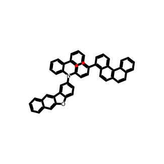 c1ccc(-c2ccccc2N(c2ccc(-c3cccc4c3ccc3ccc5ccccc5c34)cc2)c2ccc3oc4cc5ccccc5cc4c3c2)cc1